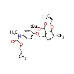 C=CCOC(=O)N(C)c1ccc(OCc2ccc(C(F)(F)F)c(OCC=C)c2C(=O)OC(C)(C)C)cc1